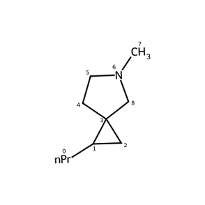 CCCC1CC12CCN(C)C2